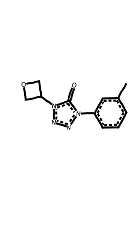 Cc1cccc(-n2nnn(C3COC3)c2=O)c1